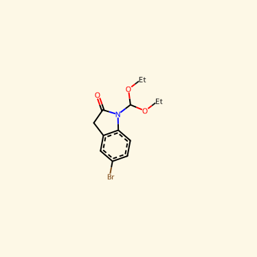 CCOC(OCC)N1C(=O)Cc2cc(Br)ccc21